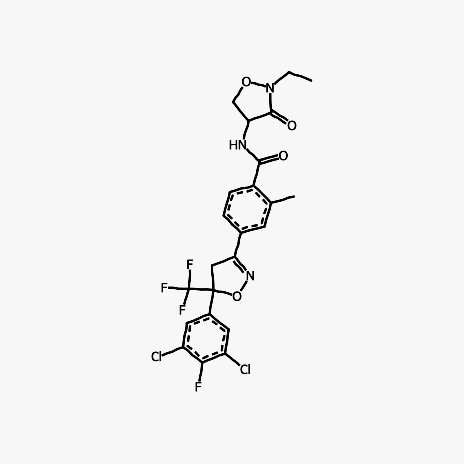 CCN1OCC(NC(=O)c2ccc(C3=NOC(c4cc(Cl)c(F)c(Cl)c4)(C(F)(F)F)C3)cc2C)C1=O